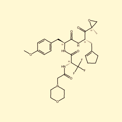 COc1ccc(C[C@H](NC(=O)[C@@H](NC(=O)CN2CCOCC2)C(F)(F)F)C(=O)N[C@@H](CC2=CCCC2)C(=O)[C@]2(C)CO2)cc1